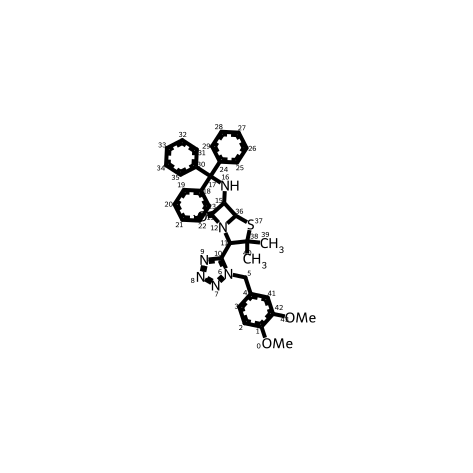 COc1ccc(Cn2nnnc2C2N3C(=O)C(NC(c4ccccc4)(c4ccccc4)c4ccccc4)C3SC2(C)C)cc1OC